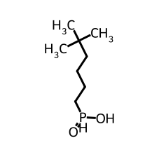 CC(C)(C)CCCC[PH](=O)O